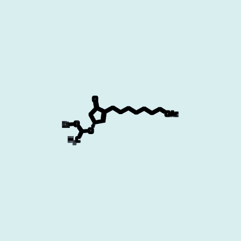 CCOC(C)O[C@H]1C=C(CCCCCCCOC(C)=O)C(=O)C1